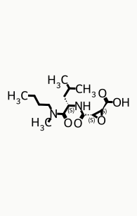 CCCCN(C)C(=O)[C@H](CC(C)C)NC(=O)[C@H]1O[C@@H]1C(=O)O